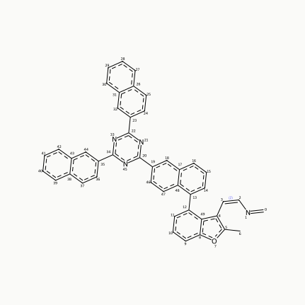 C=N/C=C\c1c(C)oc2cccc(-c3cccc4cc(-c5nc(-c6ccc7ccccc7c6)nc(-c6ccc7ccccc7c6)n5)ccc34)c12